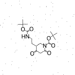 CC(C)(C)OC(=O)NCCC1CN(C(=O)OC(C)(C)C)C(=O)CC1=O